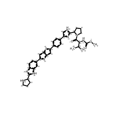 COC(=O)N[C@H](C(=O)N1CCCC1c1nc(-c2ccc(-c3cc4sc(-c5ccc6nc(C7CCCN7)[nH]c6c5)cc4s3)cc2)c[nH]1)C(C)C